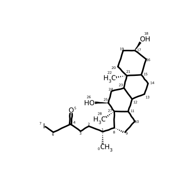 C[C@H](CCC(=O)CI)[C@H]1CCC2C3CCC4C[C@H](O)CC[C@]4(C)C3C[C@H](O)[C@@]21C